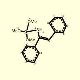 CO[Si](OC)(OC)[SiH2]C(=Cc1ccccc1)c1ccccc1